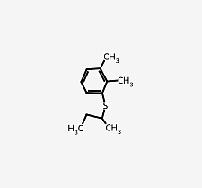 CCC(C)Sc1cccc(C)c1C